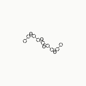 c1ccc(-c2ccc3oc4ccc(-c5ccc6c(c5)oc5cc7c(cc56)oc5cc(-c6ccc8oc9ccc(-c%10ccccc%10)cc9c8c6)ccc57)cc4c3c2)cc1